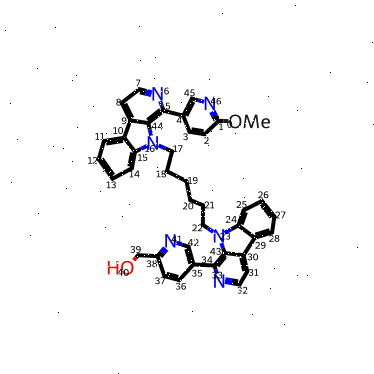 COc1ccc(-c2nccc3c4ccccc4n(CCCCCCn4c5ccccc5c5ccnc(-c6ccc(CO)nc6)c54)c23)cn1